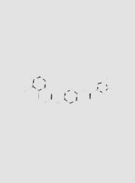 CC(NC(=S)Nc1ccc(NC(=O)c2cscn2)nc1)c1ccccc1Br